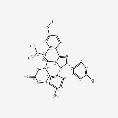 COc1ccc(C2=N[C@H](c3ccc(Cl)cc3)[C@H](c3ccc(C)cc3)N2C(=O)N2CCNC(=O)C2)c(OC(C)C)c1